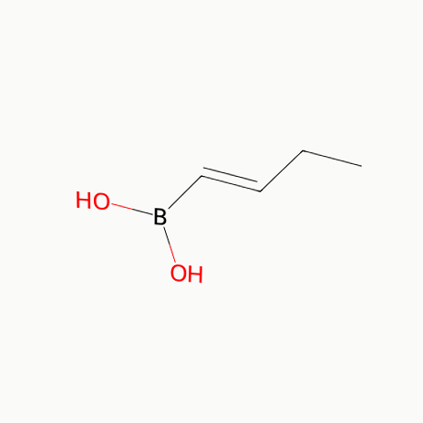 CCC=CB(O)O